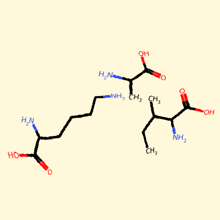 CC(N)C(=O)O.CCC(C)C(N)C(=O)O.NCCCCC(N)C(=O)O